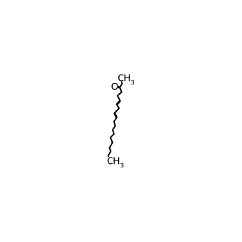 CCCCCCCCCCC=CCC=CCCC(=O)CC